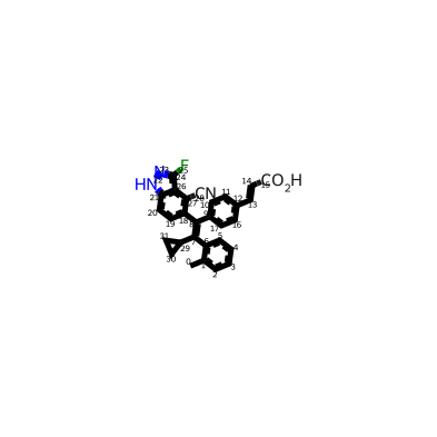 Cc1ccccc1C(=C(c1ccc(C=CC(=O)O)cc1)c1ccc2[nH]nc(F)c2c1C#N)C1CC1